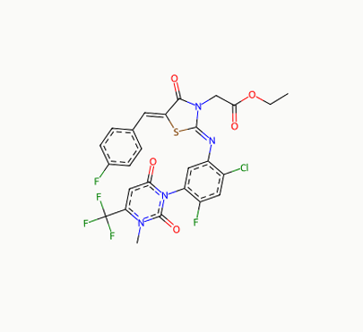 CCOC(=O)CN1C(=O)C(=Cc2ccc(F)cc2)SC1=Nc1cc(-n2c(=O)cc(C(F)(F)F)n(C)c2=O)c(F)cc1Cl